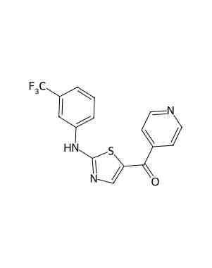 O=C(c1ccncc1)c1cnc(Nc2cccc(C(F)(F)F)c2)s1